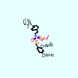 COc1ccc(COC(=O)N(O)CCc2ccc([N+](=O)[O-])cc2)c(OC)c1